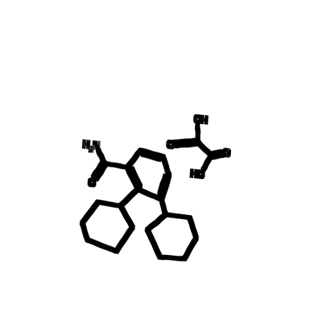 NC(=O)c1cccc(C2CCCCC2)c1C1CCCCC1.O=C(O)C(=O)O